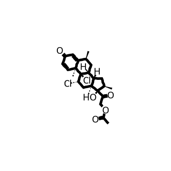 CC(=O)OCC(=O)[C@@]1(O)[C@H](C)C[C@H]2[C@@H]3C[C@H](C)C4=CC(=O)C=C[C@]4(C)[C@@]3(Cl)[C@@H](Cl)C[C@@]21C